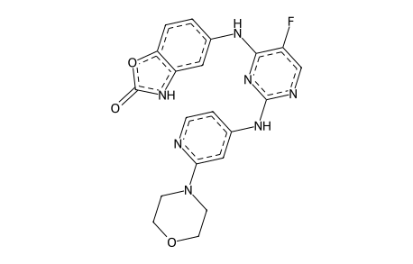 O=c1[nH]c2cc(Nc3nc(Nc4ccnc(N5CCOCC5)c4)ncc3F)ccc2o1